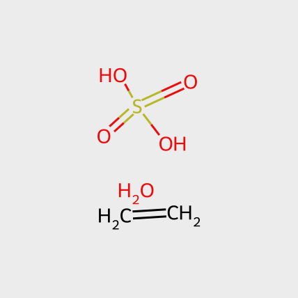 C=C.O.O=S(=O)(O)O